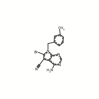 Cc1cccc(Cn2c(Br)c(C#N)c3c(N)ncnc32)c1